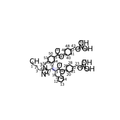 CCCCc1ncc(/C=C(\Cc2cccs2)C(=O)Oc2ccc(CON(O)O)cc2)n1Cc1ccc(C(=O)Oc2ccc(CON(O)O)cc2)cc1